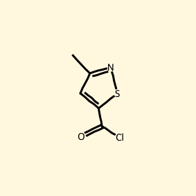 Cc1cc(C(=O)Cl)sn1